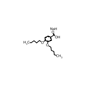 CCCCCOc1ccc(C(=O)O)cc1OCCCCC.[NaH]